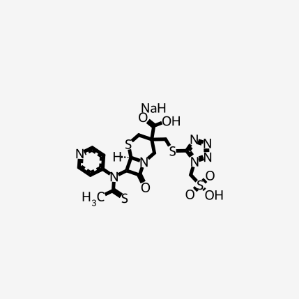 CC(=S)N(c1ccncc1)C1C(=O)N2CC(CSc3nnnn3CS(=O)(=O)O)(C(=O)O)CS[C@H]12.[NaH]